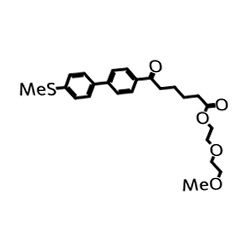 COCCOCCOC(=O)CCCCC(=O)c1ccc(-c2ccc(SC)cc2)cc1